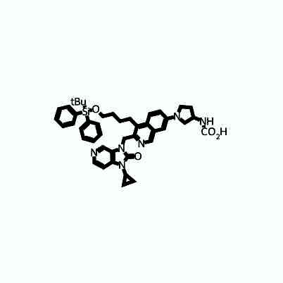 CC(C)(C)[Si](OCCCCc1c(Cn2c(=O)n(C3CC3)c3ccncc32)ncc2cc(N3CCC(NC(=O)O)C3)ccc12)(c1ccccc1)c1ccccc1